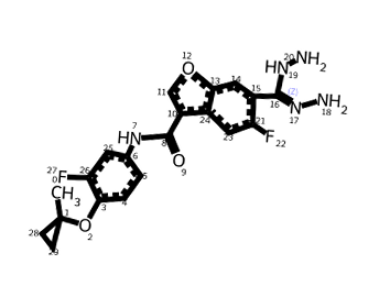 CC1(Oc2ccc(NC(=O)c3coc4cc(/C(=N/N)NN)c(F)cc34)cc2F)CC1